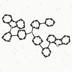 c1ccc(-c2cccc(N(c3ccc(-c4ccccc4-c4cccc5c4oc4ccccc45)cc3)c3ccc(-c4ccccc4-n4c5ccccc5c5ccccc54)cc3)c2)cc1